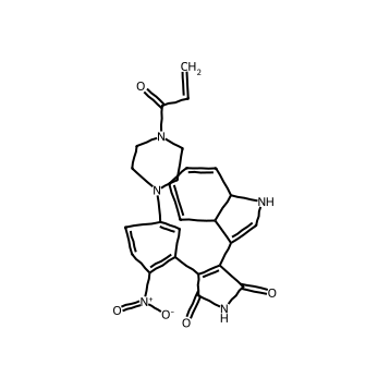 C=CC(=O)N1CCN(c2ccc([N+](=O)[O-])c(C3=C(C4=CNC5C=CC=CC45)C(=O)NC3=O)c2)CC1